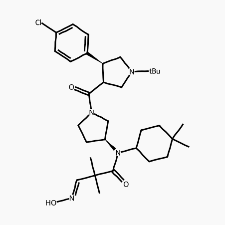 CC1(C)CCC(N(C(=O)C(C)(C)/C=N/O)[C@H]2CCN(C(=O)C3CN(C(C)(C)C)C[C@@H]3c3ccc(Cl)cc3)C2)CC1